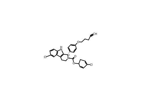 C#CCCCOc1ccc([C@H]2c3[nH]c4ccc(Cl)cc4c3CCN2C(=O)OC2C=CC(Cl)=CC2)cc1